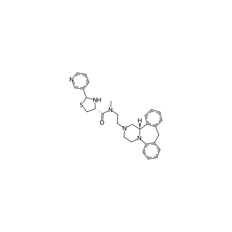 CN(CCN1CCN2c3ccccc3Cc3ccccc3[C@H]2C1)C(=O)[C@@H]1CSC(c2cccnc2)N1